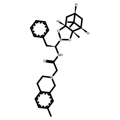 Cc1ccc2c(c1)CN(CC(=O)N[C@@H](Cc1ccccc1)B1O[C@@H]3C[C@@H]4C[C@@H](C4(C)C)[C@]3(C)O1)CC2